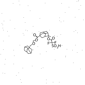 CC1(OC(=O)C(F)(F)S(=O)(=O)O)C2CC3CC1CC(C(=O)OCOCC14CC5CC(CC(C5)C1)C4)(C3)C2